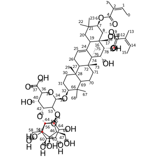 C/C=C(/C)C(=O)O[C@H]1[C@H](OC(=O)/C(C)=C\C)[C@@]2(CO)C(CC1(C)C)C1=CCC3[C@@]4(C)CC[C@H](O[C@@H]5OC(C(=O)O)[C@@H](O)[C@@H](O[C@@H]6O[C@@H](CO)[C@@H](O)C6O)C5O[C@@H]5CC(CO)[C@H](O)[C@@H](O)C5O)C(C)(C)C4CC[C@@]3(C)[C@]1(C)[C@@H](O)[C@H]2O